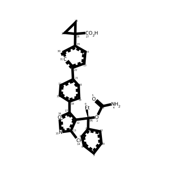 CC[C@@](OC(N)=O)(c1ccccc1)c1c(C)noc1-c1ccc(-c2ccc(C3(C(=O)O)CC3)cc2)cc1